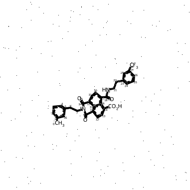 Cc1cccc(CCN2C(=O)c3ccc(C(=O)O)c4c(C(=O)NCCc5cccc(C(F)(F)F)c5)ccc(c34)C2=O)c1